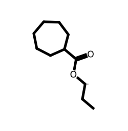 CC[CH]OC(=O)C1CCCCCC1